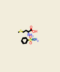 CSCC[C@H](N)C(=O)O.Cl.NS(=O)(=O)c1ccccc1